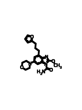 COc1nc2c(CCCc3ccco3)cc(N3CCOCC3)cc2n1C(N)=O